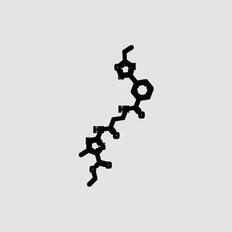 CCOC(=O)c1sc(NC(=O)CCNC(=O)c2cccc(-c3noc(CC)n3)c2)nc1C